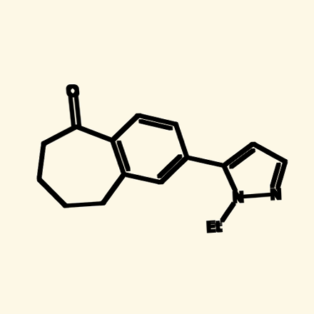 CCn1nccc1-c1ccc2c(c1)CCCCC2=O